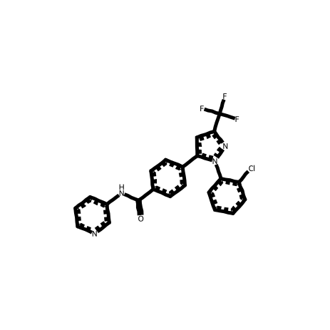 O=C(Nc1cccnc1)c1ccc(-c2cc(C(F)(F)F)nn2-c2ccccc2Cl)cc1